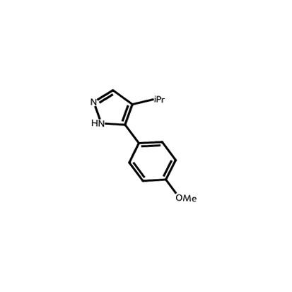 COc1ccc(-c2[nH]ncc2C(C)C)cc1